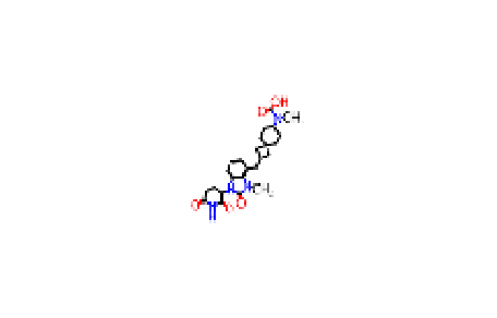 CN(C(=O)O)C1CCC2(CC1)CC(Cc1cccc3c1n(C)c(=O)n3C1CCC(=O)NC1=O)C2